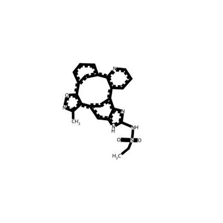 CCS(=O)(=O)Nc1nc2c(cc3cc2c2cccnc2c2cccc(c2)c2onc(C)c32)[nH]1